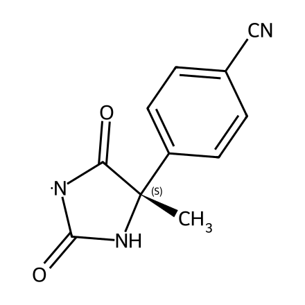 C[C@@]1(c2ccc(C#N)cc2)NC(=O)[N]C1=O